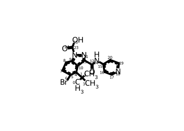 CC(C)(C)c1c(Br)ccc2c1c(C(=O)Nc1ccncc1)nn2C(=O)O